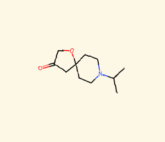 CC(C)N1CCC2(CC1)CC(=O)CO2